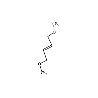 FC(F)(F)OCC=CCOC(F)(F)F